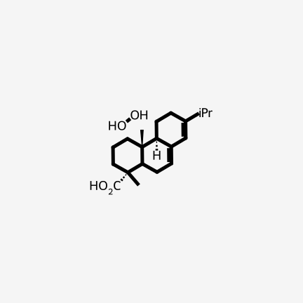 CC(C)C1=CC2=CCC3[C@](C)(C(=O)O)CCC[C@]3(C)[C@H]2CC1.OO